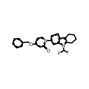 O=c1cc(OCc2ccccc2)ccn1-c1ccc2c3c(n(C(F)F)c2c1)CCCC3